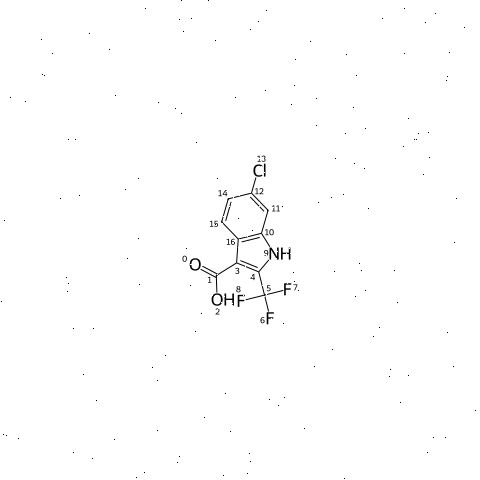 O=C(O)c1c(C(F)(F)F)[nH]c2cc(Cl)ccc12